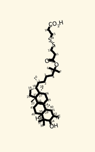 C[C@H](CCCC(C)(C)OC(=O)CCSSCCC(=O)O)[C@H]1CC[C@@]2(C)C3=C(CC[C@]12C)[C@@]1(C)CC(F)C(O)C(C)(C)[C@@H]1CC3